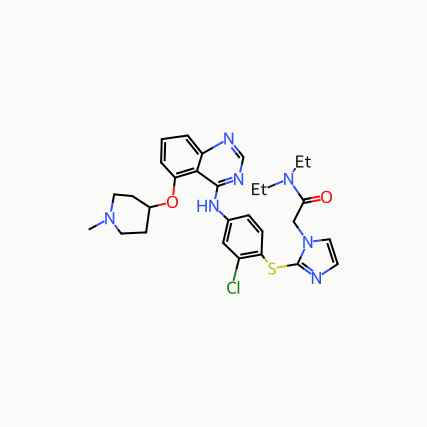 CCN(CC)C(=O)Cn1ccnc1Sc1ccc(Nc2ncnc3cccc(OC4CCN(C)CC4)c23)cc1Cl